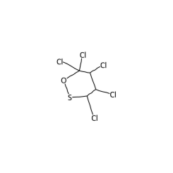 ClC1SOC(Cl)(Cl)C(Cl)C1Cl